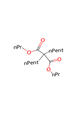 CCCCCC(CCCCC)(C(=O)OCCC)C(=O)OCCC